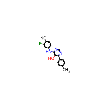 Cc1ccc(-c2ncnc(Nc3ccc(C#N)c(F)c3)c2O)cc1